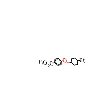 CCC1CCC(COc2ccc(C(=O)O)cc2)CC1